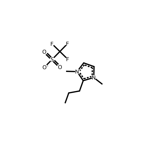 CCCc1n(C)cc[n+]1C.O=S(=O)([O-])C(F)(F)F